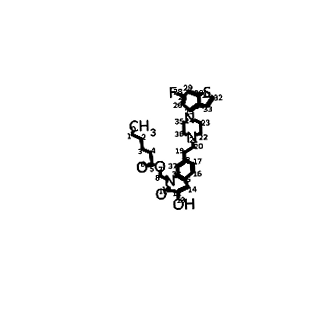 CCCCCC(=O)OCn1c(=O)c(O)cc2ccc(CCN3CCN(c4cc(F)cc5sccc45)CC3)cc21